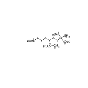 CCCCCCCCCCCCCCCCC(N)(CCCCCCCCCC)CCCCCCCCCC.CS(=O)(=O)O